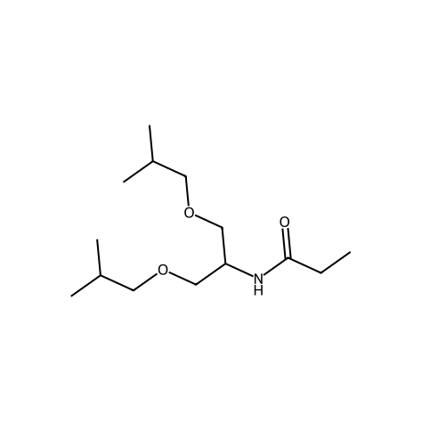 CCC(=O)NC(COCC(C)C)COCC(C)C